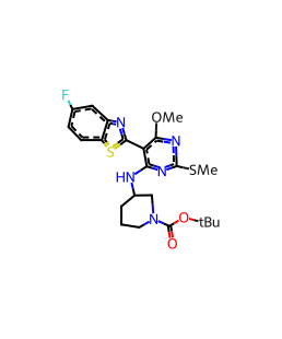 COc1nc(SC)nc(NC2CCCN(C(=O)OC(C)(C)C)C2)c1-c1nc2cc(F)ccc2s1